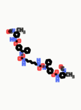 Cc1ccc(NC(=O)Oc2ccc(/C(=N/OC(=O)NCCCCCCNC(=O)O/N=C(\c3ccccc3)c3ccc(OC(=O)Nc4ccc(C)c(N=C=O)c4)cc3)c3ccccc3)cc2)cc1N=C=O